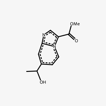 COC(=O)c1cnc2cc(C(C)O)ccn12